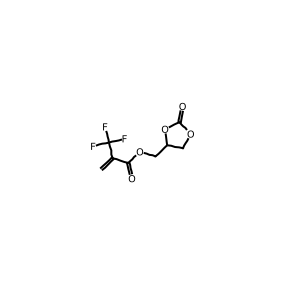 C=C(C(=O)OCC1COC(=O)O1)C(F)(F)F